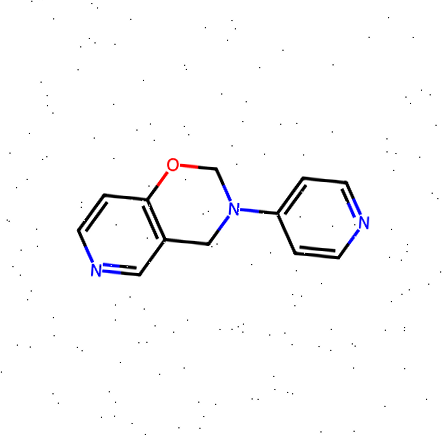 c1cc(N2COc3ccncc3C2)ccn1